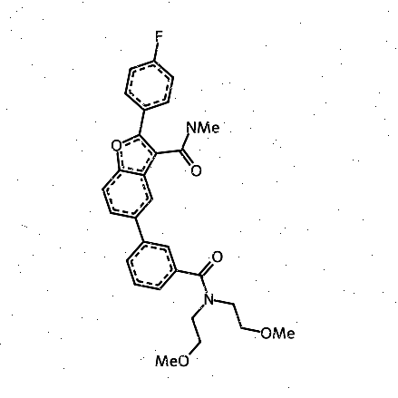 CNC(=O)c1c(-c2ccc(F)cc2)oc2ccc(-c3cccc(C(=O)N(CCOC)CCOC)c3)cc12